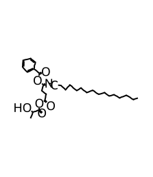 CCCCCCCCCCCCCCCCN=C(CCC(=O)OC(=O)C(C)O)OC(=O)c1ccccc1